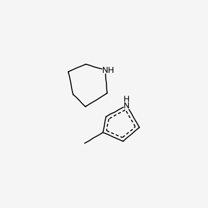 C1CCNCC1.Cc1cc[nH]c1